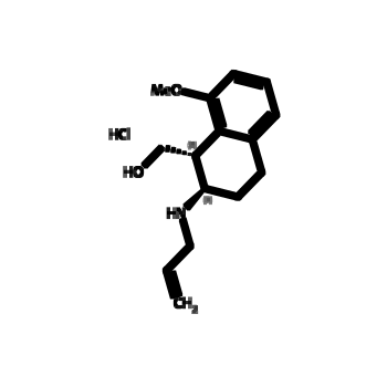 C=CCN[C@@H]1CCc2cccc(OC)c2[C@H]1CO.Cl